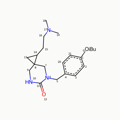 CC(C)COc1ccc(CN2CC3(CNC2=O)CC3CCN(C)C)cc1